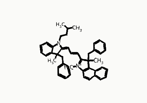 CC(C)CCN1/C(=C/C=C/C2=[N+](C)c3ccc4ccccc4c3C2(C)Cc2ccccc2)C(C)(Cc2ccccc2)c2ccccc21